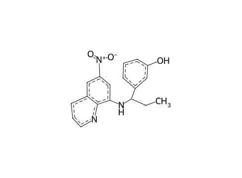 CCC(Nc1cc([N+](=O)[O-])cc2cccnc12)c1cccc(O)c1